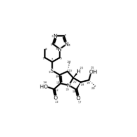 CCC(Cn1cncn1)SC1=C(C(=O)O)N2C(=O)[C@H]([C@@H](C)O)[C@H]2[C@H]1C